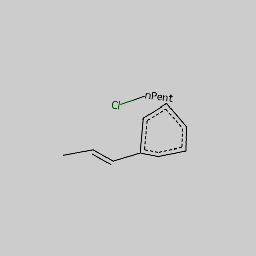 CC=Cc1ccccc1.CCCCCCl